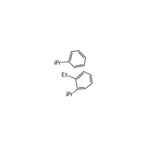 CC(C)c1ccccc1.CCc1ccccc1C(C)C